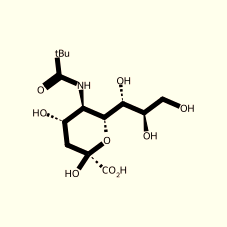 CC(C)(C)C(=O)N[C@H]1[C@H]([C@H](O)[C@H](O)CO)O[C@](O)(C(=O)O)C[C@@H]1O